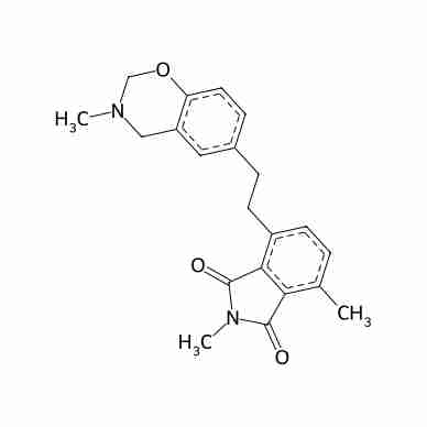 Cc1ccc(CCc2ccc3c(c2)CN(C)CO3)c2c1C(=O)N(C)C2=O